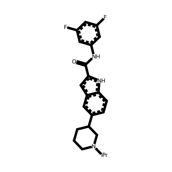 CC(C)N1CCCC(c2ccc3[nH]c(C(=O)Nc4cc(F)cc(F)c4)cc3c2)C1